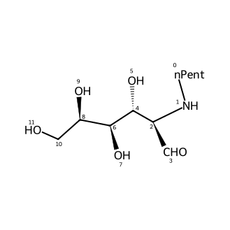 CCCCCN[C@@H](C=O)[C@@H](O)[C@@H](O)[C@H](O)CO